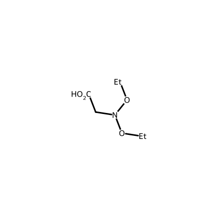 CCON(CC(=O)O)OCC